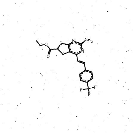 CCOC(=O)C1Cc2c(/C=C/c3ccc(C(F)(F)F)cc3)nc(N)nc2S1